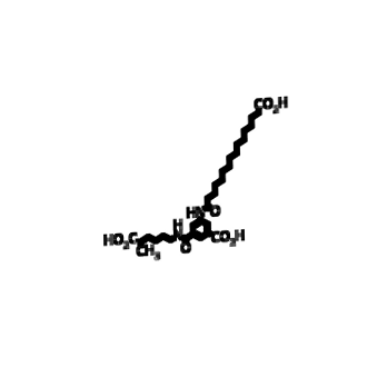 C[C@@H](CCCCNC(=O)c1cc(NC(=O)CCCCCCCCCCCCCCC(=O)O)cc(C(=O)O)c1)C(=O)O